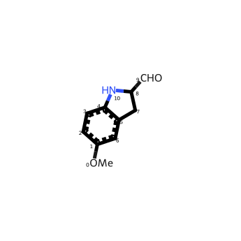 COc1ccc2c(c1)CC(C=O)N2